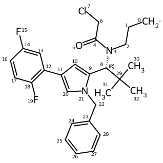 [CH2]CCN(C(=O)CCl)[C@@H](c1cc(-c2cc(F)ccc2F)cn1Cc1ccccc1)C(C)(C)C